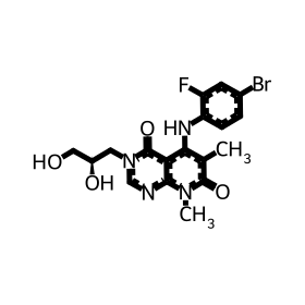 Cc1c(Nc2ccc(Br)cc2F)c2c(=O)n(C[C@@H](O)CO)cnc2n(C)c1=O